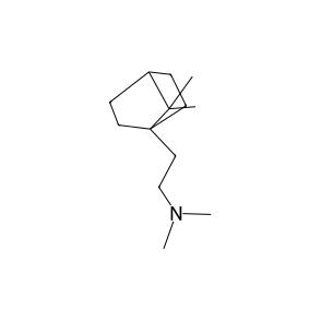 CN(C)CCC12CCC(CC1)C2(C)C